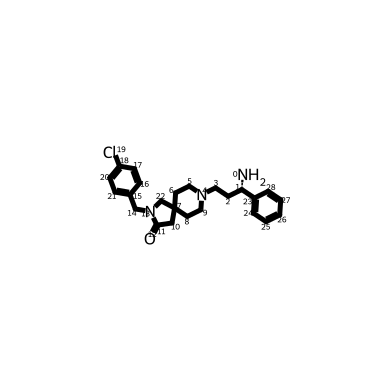 N[C@@H](CCN1CCC2(CC1)CC(=O)N(Cc1ccc(Cl)cc1)C2)c1ccccc1